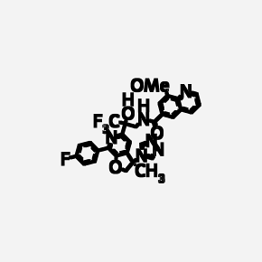 COc1cc(C(=O)NCC(O)(c2cc3c(c(-c4ccc(F)cc4)n2)OC[C@]3(C)n2cnnc2)C(F)(F)F)cc2cccnc12